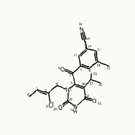 C/C=C(\Cl)Cn1c(C(=O)c2cc(C)cc(C#N)c2)c(C(C)C)c(=O)[nH]c1=O